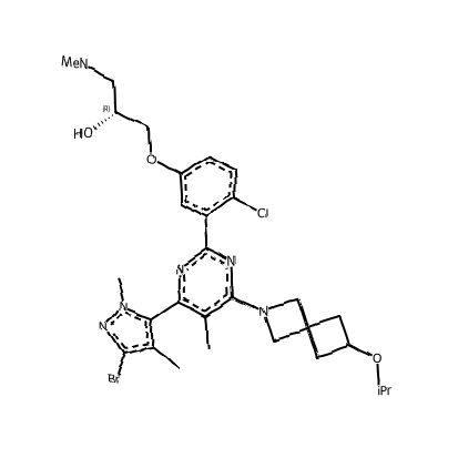 CNC[C@@H](O)COc1ccc(Cl)c(-c2nc(-c3c(C)c(Br)nn3C)c(C)c(N3CC4(CC(OC(C)C)C4)C3)n2)c1